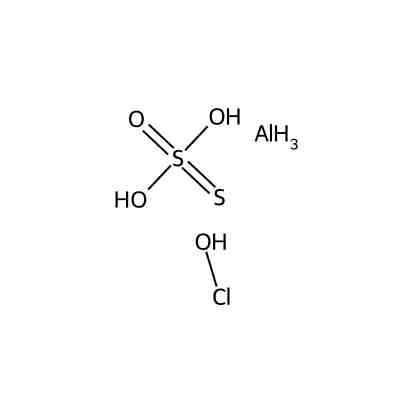 O=S(O)(O)=S.OCl.[AlH3]